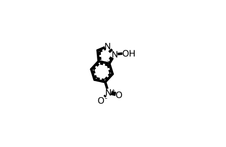 O=[N+]([O-])c1ccc2cnn(O)c2c1